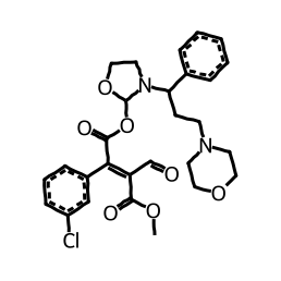 COC(=O)/C(C=O)=C(/C(=O)OC1OCCN1C(CCN1CCOCC1)c1ccccc1)c1cccc(Cl)c1